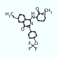 C=Cc1ccc2c(Nc3cccn(C)c3=O)nn(-c3ccc(OC(F)(F)F)cc3)c(=O)c2c1